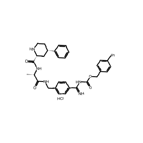 CC(C)c1ccc(COC(=O)NC(=N)c2ccc(CNC(=O)[C@H](C)NC(=O)[C@H]3C[C@@H](c4ccccc4)CCN3)cc2)cc1.Cl